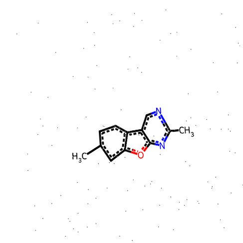 Cc1ccc2c(c1)oc1nc(C)ncc12